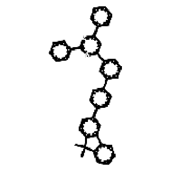 CC1(C)c2ccccc2-c2cc(-c3ccc(-c4cccc(-c5cc(-c6ccccc6)nc(-c6ccccc6)n5)c4)cc3)ccc21